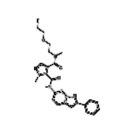 CN(CCOCCF)C(=O)c1cnn(C)c1C(=O)Nc1ccn2cc(-c3ccccc3)nc2n1